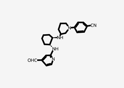 N#Cc1ccc(N2CCCC(N[C@@H]3CCCC[C@H]3Nc3cc(C=O)ccn3)C2)cc1